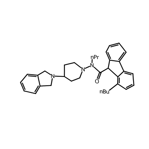 CCCCc1cccc2c1C(C(=O)N(CCC)N1CCC(N3Cc4ccccc4C3)CC1)c1ccccc1-2